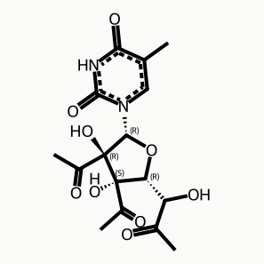 CC(=O)C(O)[C@H]1O[C@@H](n2cc(C)c(=O)[nH]c2=O)[C@@](O)(C(C)=O)[C@]1(O)C(C)=O